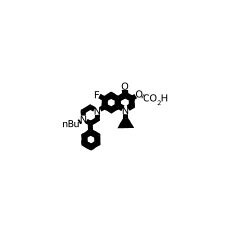 CCCCN1CCN(c2cc3c(cc2F)c(=O)c(OC(=O)O)cn3C2CC2)CC1c1ccccc1